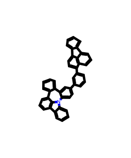 c1cc(-c2ccc3c(c2)-c2ccccc2-c2cccc4c5ccccc5n-3c24)cc(-c2ccc3c4c(cccc24)-c2ccccc2-3)c1